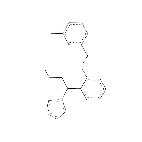 CCCC(c1ccccc1OCc1cccc(Cl)c1)n1ccnc1